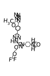 CC(Cn1cnnn1)Oc1cc(-c2cnc(Nc3cn(C4CCC(N5[C@@H]6CC[C@H]5COC6)CC4)nc3OCCOCC(F)F)nc2)ccc1C#N